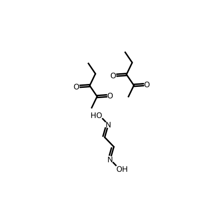 CCC(=O)C(C)=O.CCC(=O)C(C)=O.ON=CC=NO